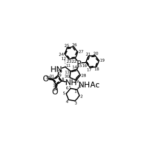 CC(=O)N[C@H]1CCCC[C@@H]1Nc1c(N[C@H](C)C2=C(P(c3ccccc3)c3ccccc3)C=CC2)c(=O)c1=O